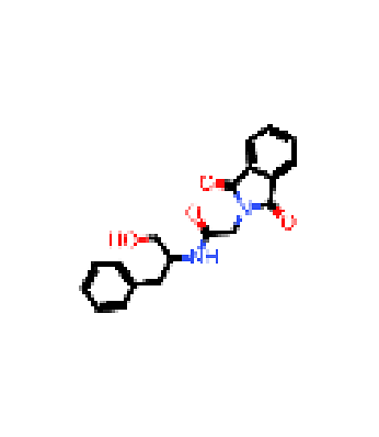 O=C(CN1C(=O)c2ccccc2C1=O)NC(CO)Cc1ccccc1